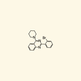 Brc1ccccc1-c1nc(N2CCCCC2)c2ccccc2n1